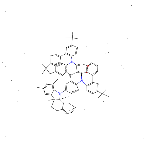 Cc1cc2c3c(c1)N(c1ccc(C(C)(C)C)cc1-c1ccccc1)c1cc4c(cc1B3c1cc(N3c5c(C)cc(C)cc5C5(C)CCc6ccccc6C35C)ccc1N2c1ccc(C(C)(C)C)cc1-c1ccccc1)CC(C)(C)C4